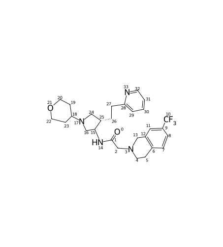 O=C(CN1CCc2ccc(C(F)(F)F)cc2C1)NC1CN(C2CCOCC2)C[C@@H]1CCc1ccccn1